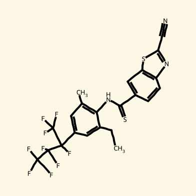 CCc1cc(C(F)(C(F)(F)F)C(F)(F)C(F)(F)F)cc(C)c1NC(=S)c1ccc2nc(C#N)sc2c1